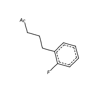 CC(=O)CCCc1ccccc1F